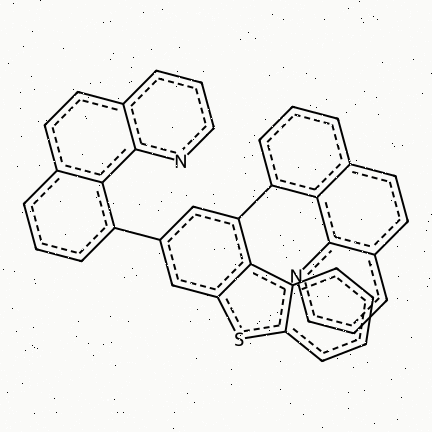 c1cnc2c(c1)ccc1cccc(-c3cc(-c4cccc5ccc6cccnc6c45)c4c(c3)sc3ccccc34)c12